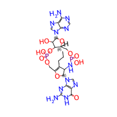 CCCC1=C2COP(=O)(O)OC3C(O)[C@H](n4cnc5c(N)ncnc54)O[C@@H]3COP(=O)(O)NC1[C@H](n1cnc3c(=O)[nH]c(N)nc31)O2